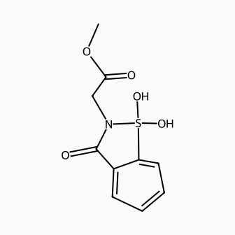 COC(=O)CN1C(=O)c2ccccc2S1(O)O